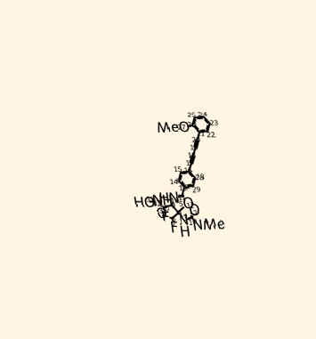 CNC(=O)NC(C)(C(F)F)C(NC(=O)c1ccc(C#CC#Cc2ccccc2OC)cc1)C(=O)NO